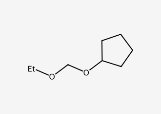 CCOCOC1CCCC1